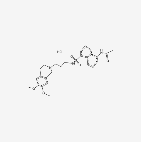 COc1cc2c(cc1OC)CN(CCCNS(=O)(=O)c1cccc3c(NC(C)=O)cccc13)CC2.Cl